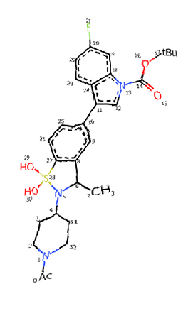 CC(=O)N1CCC(N2C(C)c3cc(-c4cn(C(=O)OC(C)(C)C)c5cc(F)ccc45)ccc3S2(O)O)CC1